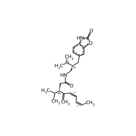 C=C(/C=C\C=C/C)[C@H](CC(=O)NC[C@H](Cc1ccc2[nH]c(=O)oc2c1)N(C)C)C(C)C